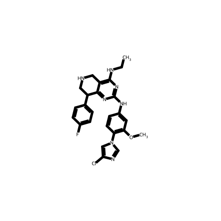 CCNc1nc(Nc2ccc(-n3cnc(Cl)c3)c(OC)c2)nc2c1CNCC2c1ccc(F)cc1